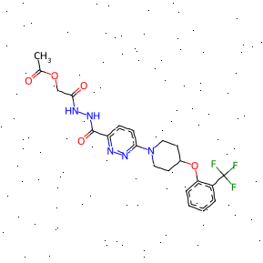 CC(=O)OCC(=O)NNC(=O)c1ccc(N2CCC(Oc3ccccc3C(F)(F)F)CC2)nn1